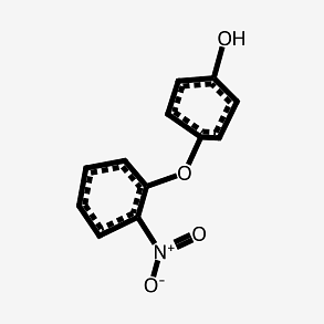 O=[N+]([O-])c1ccccc1Oc1ccc(O)cc1